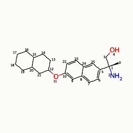 C[C@](N)(CO)c1ccc2cc(OC3CCC4CCCCC4C3)ccc2c1